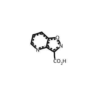 O=C(O)c1noc2cccnc12